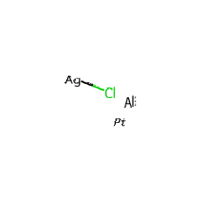 [Al].[Cl][Ag].[Pt]